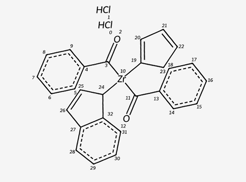 Cl.Cl.O=[C](c1ccccc1)[Zr]([C](=O)c1ccccc1)([C]1=CC=CC1)[CH]1C=Cc2ccccc21